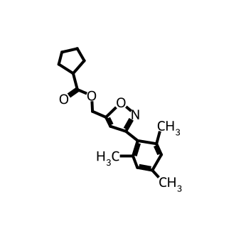 Cc1cc(C)c(-c2cc(COC(=O)C3CCCC3)on2)c(C)c1